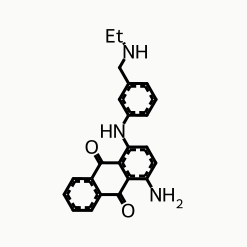 CCNCc1cccc(Nc2ccc(N)c3c2C(=O)c2ccccc2C3=O)c1